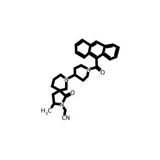 CC1CC2(CCCN(C3CCN(C(=O)c4c5ccccc5cc5ccccc45)CC3)C2)C(=O)N1CC#N